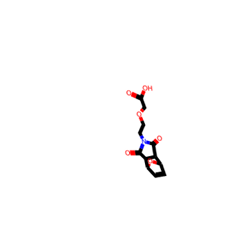 O=C(O)COCCN1C(=O)C2C3C=CC(O3)C2C1=O